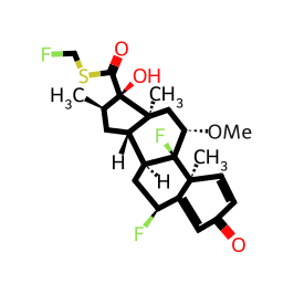 CO[C@H]1C[C@@]2(C)[C@@H](C[C@@H](C)[C@]2(O)C(=O)SCF)[C@@H]2C[C@H](F)C3=CC(=O)C=C[C@]3(C)[C@@]12F